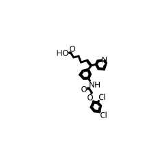 O=C(O)CCCC=C(c1cccnc1)c1cccc(NC(=O)COc2ccc(Cl)cc2Cl)c1